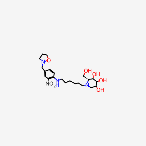 O=[N+]([O-])c1cc(CN2CCCO2)ccc1NCCCCCCN1CC(O)C(O)C(O)[C@@H]1CO